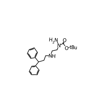 CC(C)(C)OC(=O)N(N)CCNCCC(c1ccccc1)c1ccccc1